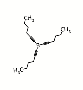 CCCCC#CB(C#CCCCC)C#CCCCC